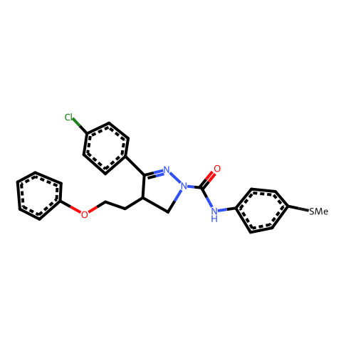 CSc1ccc(NC(=O)N2CC(CCOc3ccccc3)C(c3ccc(Cl)cc3)=N2)cc1